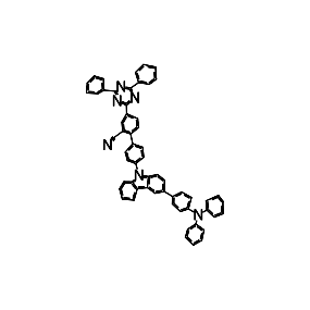 N#Cc1cc(-c2nc(-c3ccccc3)nc(-c3ccccc3)n2)ccc1-c1ccc(-n2c3ccccc3c3cc(-c4ccc(N(c5ccccc5)c5ccccc5)cc4)ccc32)cc1